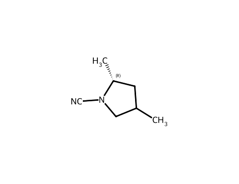 CC1C[C@@H](C)N(C#N)C1